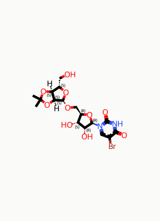 CC1(C)O[C@@H]2[C@@H](OC[C@H]3O[C@@H](n4cc(Br)c(=O)[nH]c4=O)[C@H](O)[C@@H]3O)O[C@@H](CO)[C@@H]2O1